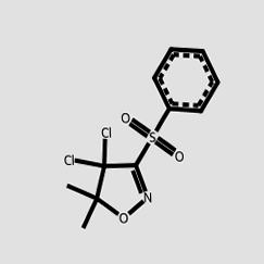 CC1(C)ON=C(S(=O)(=O)c2ccccc2)C1(Cl)Cl